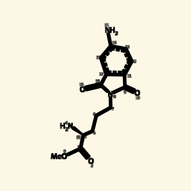 COC(=O)[C@@H](N)CCCN1C(=O)c2ccc(N)cc2C1=O